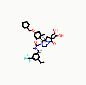 CCc1cc([C@@H](C)N(C)C(=O)N2CCN3C(=O)C(CCO)(CCO)C[C@H]3[C@@H]2c2ccc(OCc3ccccc3)cc2C)cc(C(F)(F)F)c1